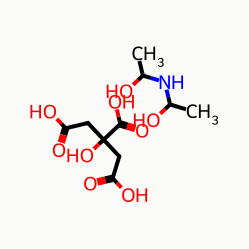 CC(O)NC(C)O.O=C(O)CC(O)(CC(=O)O)C(=O)O